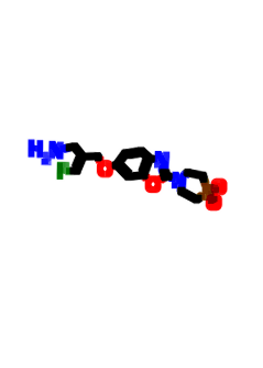 NCC(=CF)COc1ccc2nc(N3CCS(=O)(=O)CC3)oc2c1